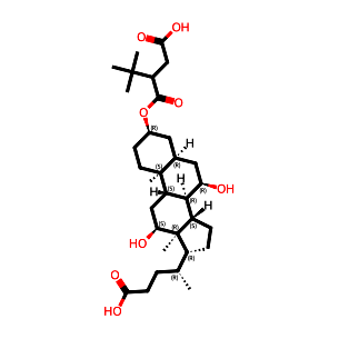 C[C@H](CCC(=O)O)[C@H]1CC[C@H]2[C@@H]3[C@H](O)C[C@@H]4C[C@H](OC(=O)C(CC(=O)O)C(C)(C)C)CC[C@]4(C)[C@H]3C[C@H](O)[C@]12C